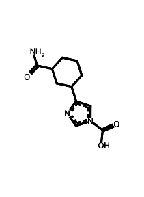 NC(=O)C1CCCC(c2cn(C(=O)O)cn2)C1